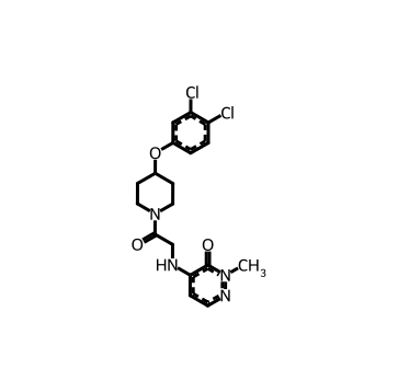 Cn1nccc(NCC(=O)N2CCC(Oc3ccc(Cl)c(Cl)c3)CC2)c1=O